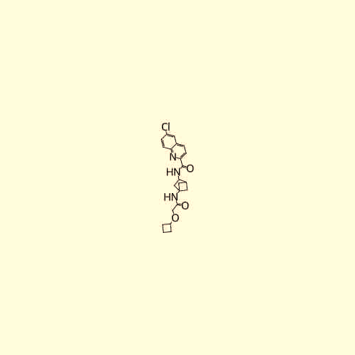 O=C(COC1CCC1)NC12CC(C1)C(NC(=O)c1ccc3cc(Cl)ccc3n1)C2